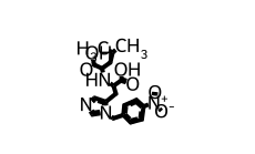 CC(C)CC(NC(Cc1cncn1Cc1ccc([N+](=O)[O-])cc1)C(=O)O)C(=O)O